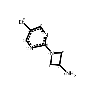 CCc1cnc(N2CC(N)C2)nc1